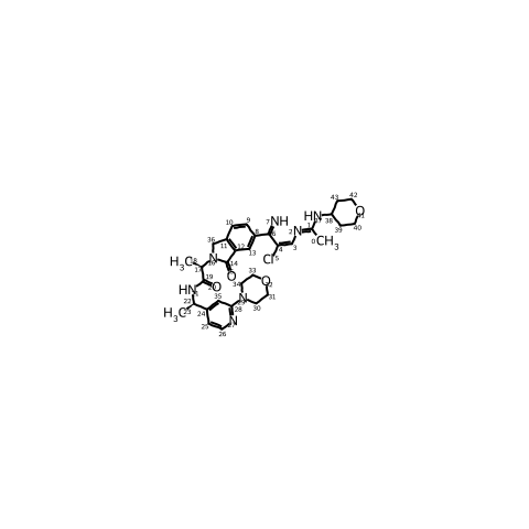 C/C(=N\C=C(\Cl)C(=N)c1ccc2c(c1)C(=O)N([C@H](C)C(=O)N[C@H](C)c1ccnc(N3CCOCC3)c1)C2)NC1CCOCC1